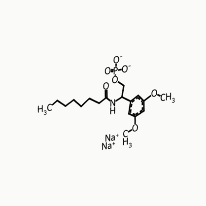 CCCCCCCC(=O)NC(COP(=O)([O-])[O-])c1cc(OC)cc(OC)c1.[Na+].[Na+]